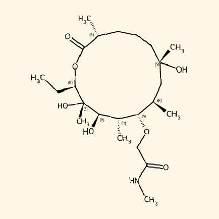 CC[C@H]1OC(=O)[C@H](C)CCC[C@](C)(O)C[C@@H](C)[C@H](OCC(=O)NC)[C@H](C)[C@@H](O)[C@]1(C)O